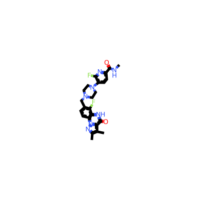 CNC(=O)c1ccc(N2CCN(Cc3ccc4c([nH]c(=O)c5c(C)c(C)nn54)c3F)CC2)c(F)n1